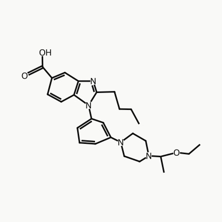 CCCCc1nc2cc(C(=O)O)ccc2n1-c1cccc(N2CCN(C(C)OCC)CC2)c1